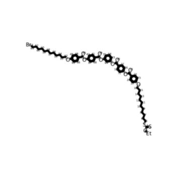 CCOC(=S)SCCCCCCCCCCCCOc1ccc(C(=O)Oc2ccc(C(=O)Oc3cccc(OC(=O)c4ccc(OC(=O)c5ccc(OCCCCCCCCCCCCBr)cc5)cc4)c3)cc2)cc1